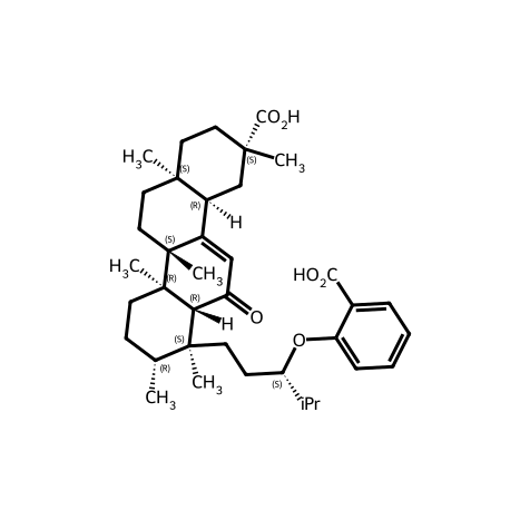 CC(C)[C@H](CC[C@@]1(C)[C@H](C)CC[C@]2(C)[C@@H]1C(=O)C=C1[C@@H]3C[C@@](C)(C(=O)O)CC[C@]3(C)CC[C@]12C)Oc1ccccc1C(=O)O